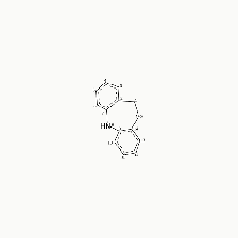 [C]1Cc2ccccc2Nc2ccccc21